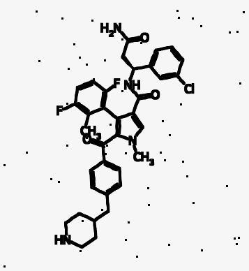 Cc1c(F)ccc(F)c1-c1c(C(=O)N[C@@H](CC(N)=O)c2cccc(Cl)c2)cn(C)c1C(=O)c1ccc(CC2CCNCC2)cc1